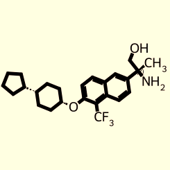 C[C@](N)(CO)c1ccc2c(C(F)(F)F)c(O[C@H]3CC[C@@H](C4CCCC4)CC3)ccc2c1